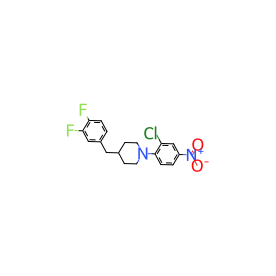 O=[N+]([O-])c1ccc(N2CCC(Cc3ccc(F)c(F)c3)CC2)c(Cl)c1